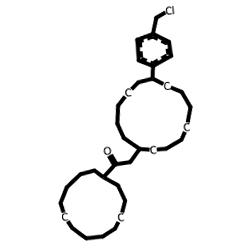 O=C(CC1CCCCCCCC(c2ccc(CCl)cc2)CCCCC1)C1CCCCCCCCCCCC1